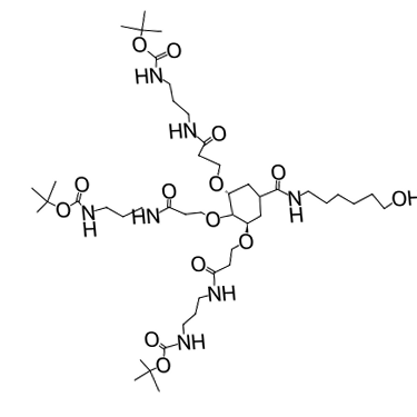 CC(C)(C)OC(=O)NCCCNC(=O)CCOC1[C@H](OCCC(=O)NCCCNC(=O)OC(C)(C)C)CC(C(=O)NCCCCCCO)C[C@H]1OCCC(=O)NCCCNC(=O)OC(C)(C)C